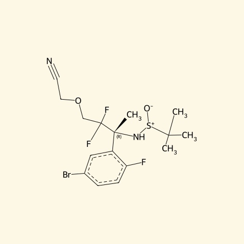 CC(C)(C)[S+]([O-])N[C@](C)(c1cc(Br)ccc1F)C(F)(F)COCC#N